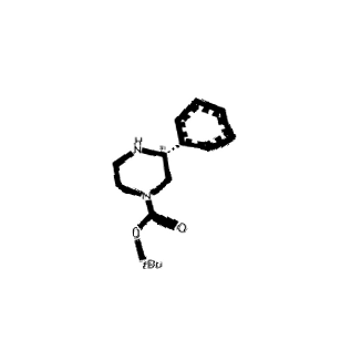 CC(C)(C)OC(=O)N1CCN[C@H](c2ccccc2)C1